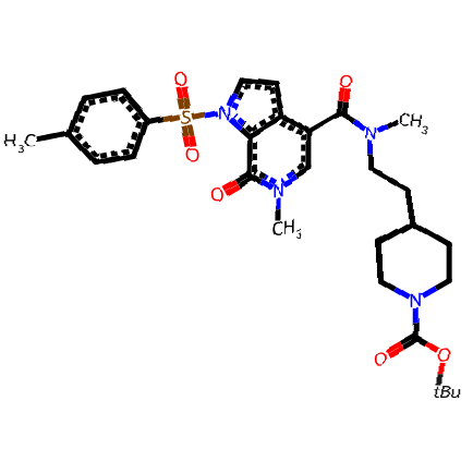 Cc1ccc(S(=O)(=O)n2ccc3c(C(=O)N(C)CCC4CCN(C(=O)OC(C)(C)C)CC4)cn(C)c(=O)c32)cc1